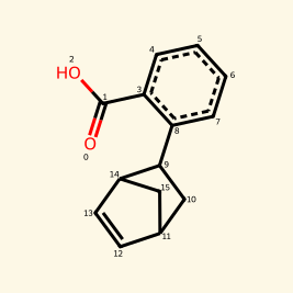 O=C(O)c1ccccc1C1CC2C=CC1C2